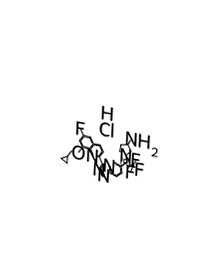 Cl.NC1CCN([C@H](c2ccc3nnc(-c4ccc5cc(F)cc(OCC6CC6)c5n4)n3c2)C(F)(F)F)C1